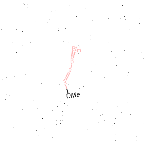 B=BB=BOC